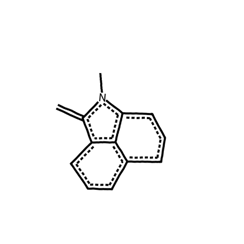 C=c1c2cccc3cccc(c32)n1C